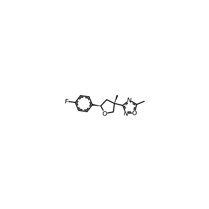 Cc1nc([C@]2(C)CO[C@@H](c3ccc(F)cc3)C2)no1